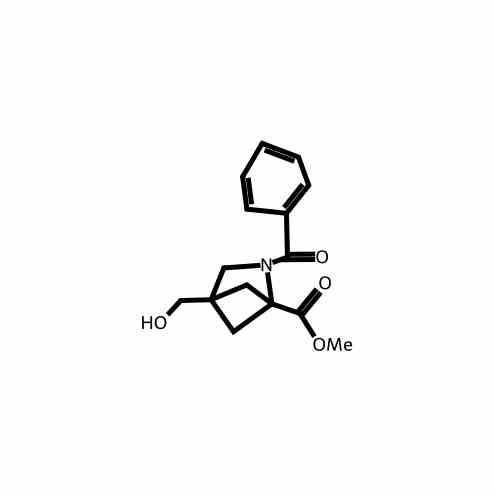 COC(=O)C12CC(CO)(CN1C(=O)c1ccccc1)C2